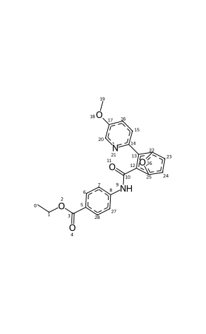 CCOC(=O)c1ccc(NC(=O)c2c(-c3ccc(OC)cn3)c3ccc2o3)cc1